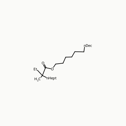 CCCCCCCCCCCCCCCCOC(=O)C(C)(CC)CCCCCCC